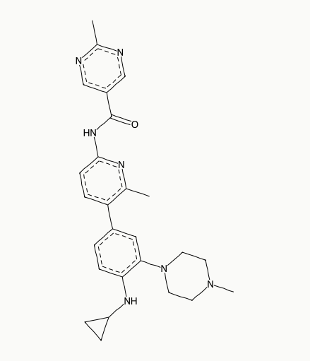 Cc1ncc(C(=O)Nc2ccc(-c3ccc(NC4CC4)c(N4CCN(C)CC4)c3)c(C)n2)cn1